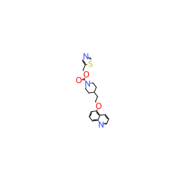 O=C(OCc1cncs1)N1CCC(CCOc2cccc3ncccc23)CC1